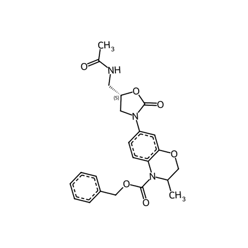 CC(=O)NC[C@H]1CN(c2ccc3c(c2)OCC(C)N3C(=O)OCc2ccccc2)C(=O)O1